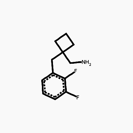 NCC1(Cc2cccc(F)c2F)CCC1